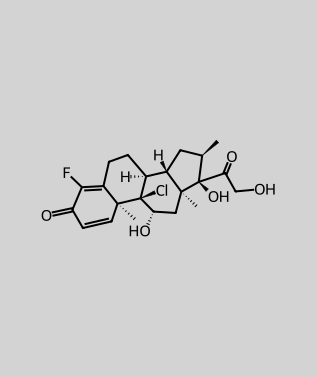 C[C@@H]1C[C@H]2[C@@H]3CCC4=C(F)C(=O)C=C[C@]4(C)[C@@]3(Cl)[C@@H](O)C[C@]2(C)[C@@]1(O)C(=O)CO